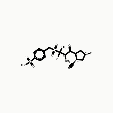 CC(C)([C@H](N)C(=O)C1C[C@@H](F)C[C@H]1C#N)S(=O)(=O)Cc1ccc(S(C)(=O)=O)cc1